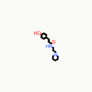 O=C(C=Cc1ccc(O)cc1)NCCCN1CCCCC1